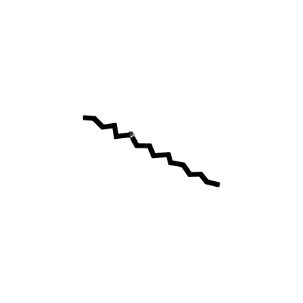 CCCCCCCCCC[P]CCCCC